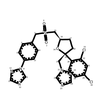 O=S(=O)(Cc1ccc(-n2cncn2)cc1)C[C@H]1CC[C@](Cn2cncn2)(c2ccc(Cl)cc2Cl)O1